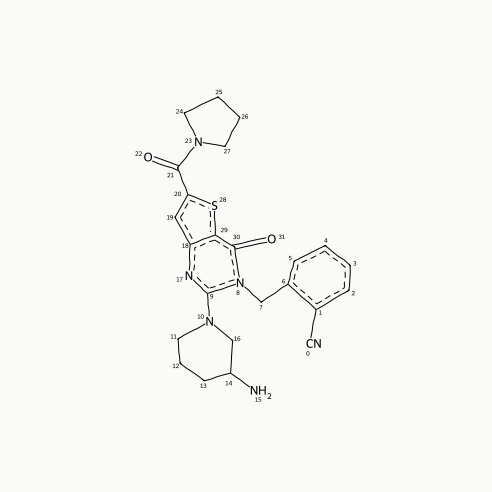 N#Cc1ccccc1Cn1c(N2CCCC(N)C2)nc2cc(C(=O)N3CCCC3)sc2c1=O